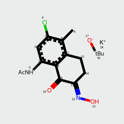 CC(=O)Nc1cc(Cl)c(C)c2c1C(=O)C(=NO)CC2.CC(C)(C)[O-].[K+]